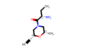 C#C[C@@H]1CN(C(=O)[C@@H](N)CC)C[C@H](C)O1